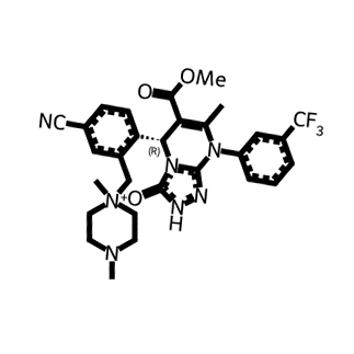 COC(=O)C1=C(C)N(c2cccc(C(F)(F)F)c2)c2n[nH]c(=O)n2[C@@H]1c1ccc(C#N)cc1C[N+]1(C)CCN(C)CC1